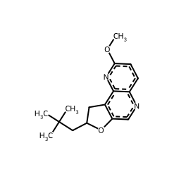 COc1ccc2ncc3c(c2n1)CC(CC(C)(C)C)O3